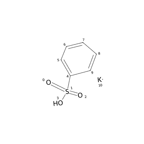 O=S(=O)(O)c1ccccc1.[K]